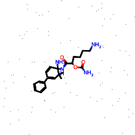 CC1(C)C=C(c2ccccc2)C=CC1(N)NC(=O)C(CCCCN)OC(N)=O